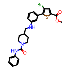 COC(=O)c1[c]c(Br)c(-c2cccc(NCC3CCN(C(=O)Nc4ccccc4)CC3)c2)s1